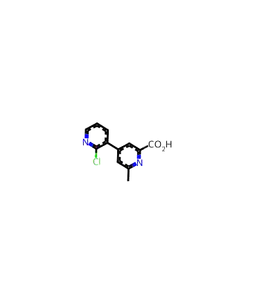 Cc1cc(-c2cccnc2Cl)cc(C(=O)O)n1